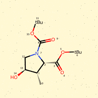 C[C@H]1[C@@H](C(=O)OC(C)(C)C)N(C(=O)OC(C)(C)C)C[C@@H]1O